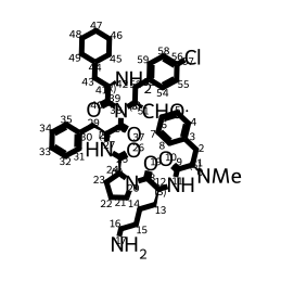 CN[C@@H](Cc1ccccc1)C(=O)N[C@@H](CCCCN)C(=O)N1CCC[C@H]1C(=O)N[C@@H](Cc1ccccc1)C(=O)N(C(=O)[C@H](N)CC1CCCCC1)[C@H]([C]=O)Cc1ccc(Cl)cc1